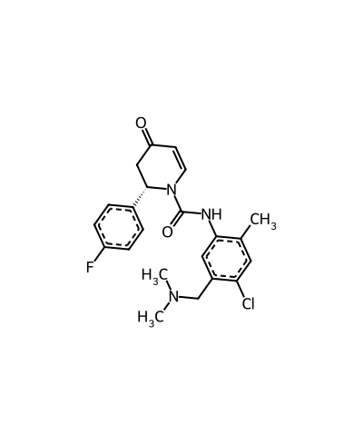 Cc1cc(Cl)c(CN(C)C)cc1NC(=O)N1C=CC(=O)C[C@H]1c1ccc(F)cc1